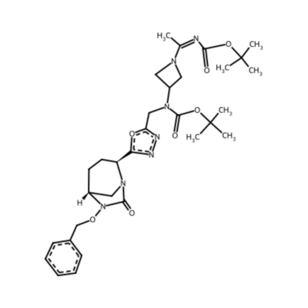 C/C(=N/C(=O)OC(C)(C)C)N1CC(N(Cc2nnc([C@@H]3CC[C@@H]4CN3C(=O)N4OCc3ccccc3)o2)C(=O)OC(C)(C)C)C1